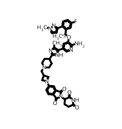 Cc1nc(C2CCN(CC3CN(c4ccc5c(c4)C(=O)N(C4CCC(=O)NC4=O)C5=O)C3)CC2)[nH]c1-c1cnc(N)c(O[C@H](C)c2cc(F)ccc2-c2ccn(C)n2)c1